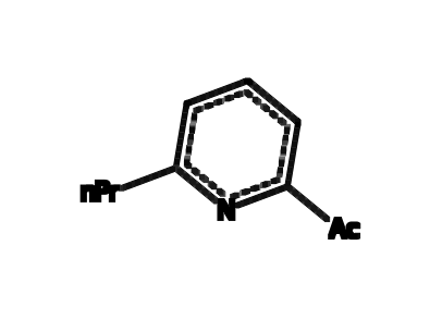 CCCc1cccc(C(C)=O)n1